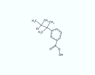 CCC(C)(C)C(C)(C)c1cccc(C(=O)OO)c1